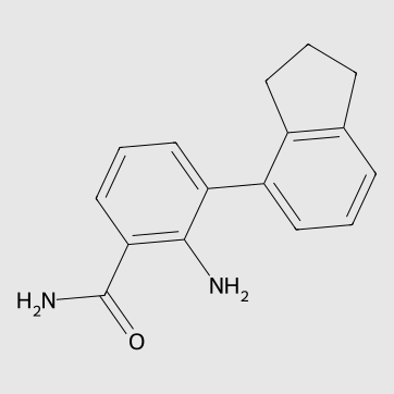 NC(=O)c1cccc(-c2cccc3c2CCC3)c1N